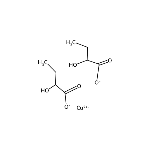 CCC(O)C(=O)[O-].CCC(O)C(=O)[O-].[Cu+2]